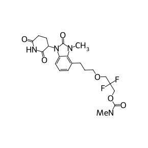 CNC(=O)OCC(F)(F)COCCCc1cccc2c1n(C)c(=O)n2C1CCC(=O)NC1=O